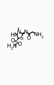 CN1NC(S(N)(=O)=O)SC1=NC(=O)CN